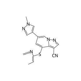 C=N/C(=C\C)Sc1cc(-c2cnn(C)c2)cn2ncc(C#N)c12